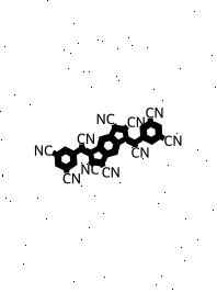 N#CC1=C(C#N)c2cc3c(cc2/C1=C(\C#N)c1cc(C#N)cc(C#N)c1)C(C#N)=C(C#N)/C3=C(/C#N)c1cc(C#N)cc(C#N)c1